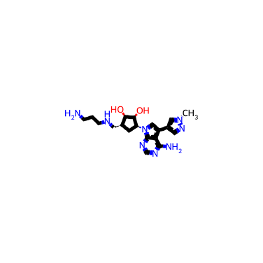 Cn1cc(-c2cn([C@@H]3C[C@H](CNCCCN)[C@@H](O)[C@H]3O)c3ncnc(N)c23)cn1